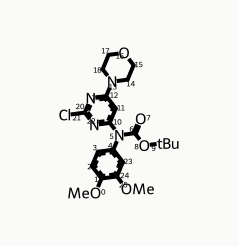 COc1ccc(N(C(=O)OC(C)(C)C)c2cc(N3CCOCC3)nc(Cl)n2)cc1OC